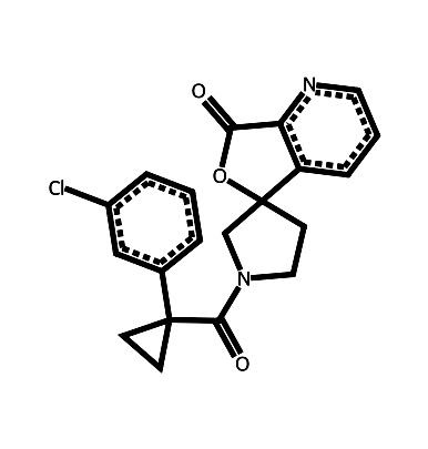 O=C1OC2(CCN(C(=O)C3(c4cccc(Cl)c4)CC3)C2)c2cccnc21